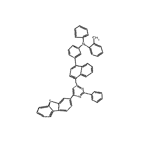 Cc1ccccc1N(c1ccccc1)c1cccc(-c2ccc(-c3cc(-c4ccc5c(c4)sc4ccccc45)nc(-c4ccccc4)n3)c3ccccc23)c1